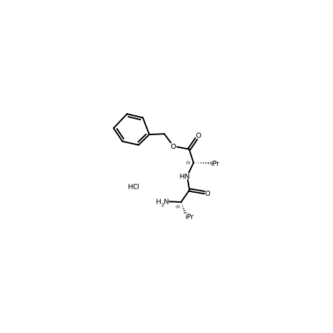 CC(C)[C@H](N)C(=O)N[C@H](C(=O)OCc1ccccc1)C(C)C.Cl